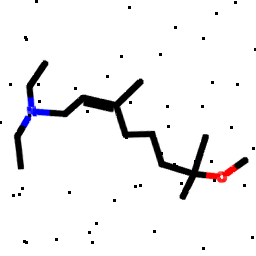 CCN(CC)CC=C(C)CCCC(C)(C)OC